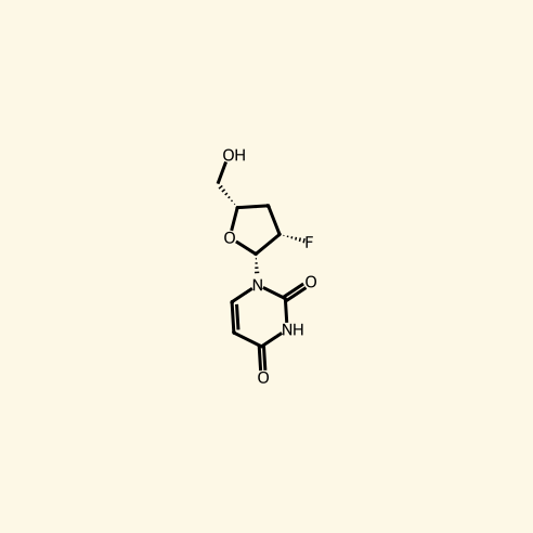 O=c1ccn([C@@H]2O[C@H](CO)C[C@@H]2F)c(=O)[nH]1